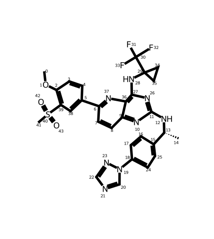 COc1ccc(-c2ccc3nc(N[C@H](C)c4ccc(-n5cncn5)cc4)nc(NC4(C(F)(F)F)CC4)c3n2)cc1S(C)(=O)=O